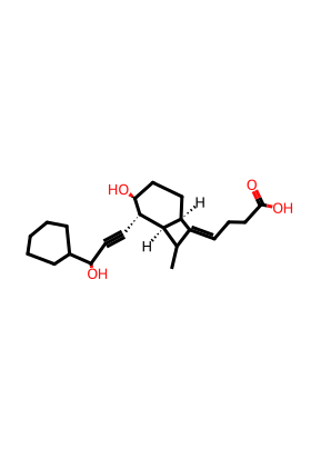 CC1/C(=C/CCC(=O)O)[C@@H]2CC[C@H](O)[C@@H](C#CC(O)C3CCCCC3)[C@H]12